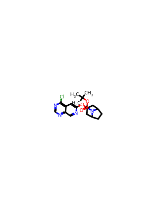 CC(C)(C)OC(=O)N1C2CCC1CC(Oc1cc3c(Cl)ncnc3cn1)C2